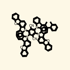 Cc1ccccc1-c1ccc2c(c1C)c1ccccc1n2-c1c(C#N)c(-n2c3ccccc3c3c4oc5ccccc5c4ccc32)c(-n2c3ccccc3c3c4oc5ccccc5c4ccc32)c(C#N)c1-n1c2ccccc2c2c3oc4ccccc4c3ccc21